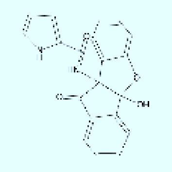 O=C(NC12C(=O)c3ccccc3C1(O)Oc1ccccc12)c1ccc[nH]1